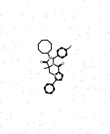 CC1(C(=O)NC2CCCCCCC2)Cn2c(ccc2-c2ccccc2)C(=O)N1Cc1ccc(F)cc1